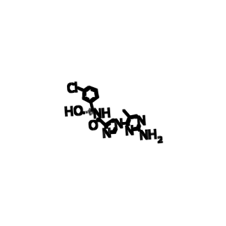 Cc1cnc(N)nc1-n1cnc(C(=O)N[C@H](CO)c2cccc(Cl)c2)c1